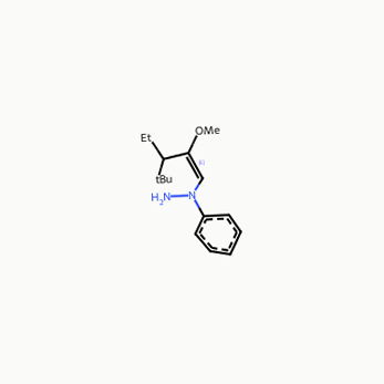 CCC(/C(=C\N(N)c1ccccc1)OC)C(C)(C)C